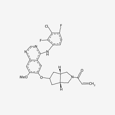 C=CC(=O)N1C[C@H]2CC(Oc3cc4c(Nc5ccc(F)c(Cl)c5F)ncnc4cc3OC)C[C@H]2C1